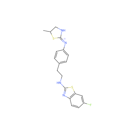 CC1CN/C(=N/c2ccc(CCNc3nc4ccc(F)cc4s3)cc2)S1